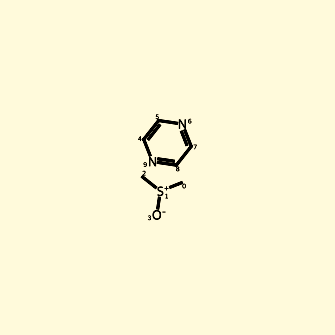 C[S+](C)[O-].c1cnccn1